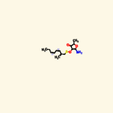 C=C(/C=C\C=C/CC)CSOC1=C(N)OC(C)C1=O